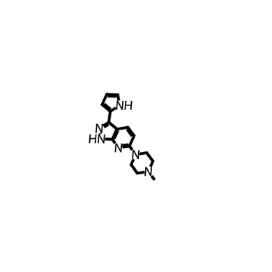 CN1CCN(c2ccc3c(-c4ccc[nH]4)n[nH]c3n2)CC1